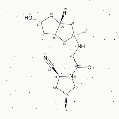 C[C@]1(NCC(=O)N2C[C@@H](F)C[C@H]2C#N)CC2C[C@H](O)C[C@@H]2C1